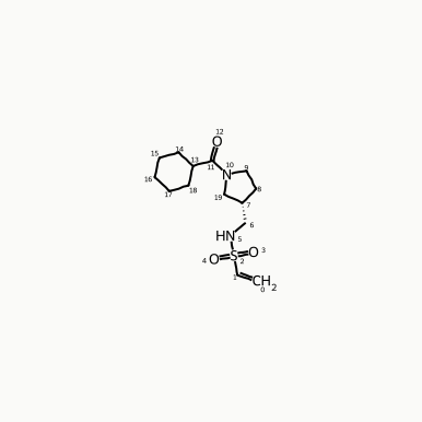 C=CS(=O)(=O)NC[C@H]1CCN(C(=O)C2CCCCC2)C1